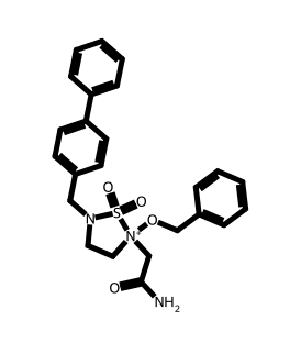 NC(=O)C[N+]1(OCc2ccccc2)CCN(Cc2ccc(-c3ccccc3)cc2)S1(=O)=O